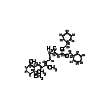 CC(C=CC1=C(C)CCCC1(C)C)=CC=CC(C)=CC(OCc1ccccc1)OCc1ccccc1